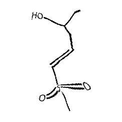 CC(O)/C=C/S(C)(=O)=O